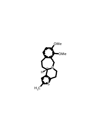 COc1ccc2c(c1OC)CN1CCc3sc(C)cc3[C@@H]1CC2